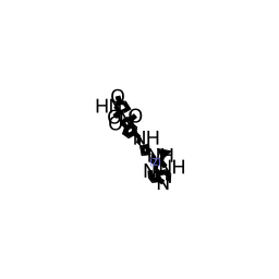 N=C(/C(=C\N[C@H]1C[C@H](CNc2ccc3c(c2)C(=O)N(C2CCC(=O)NC2=O)C3=O)C1)c1nccc2ncccc12)C1CC1